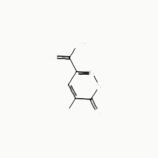 CCc1cc(C(=O)OC)n[nH]c1=O